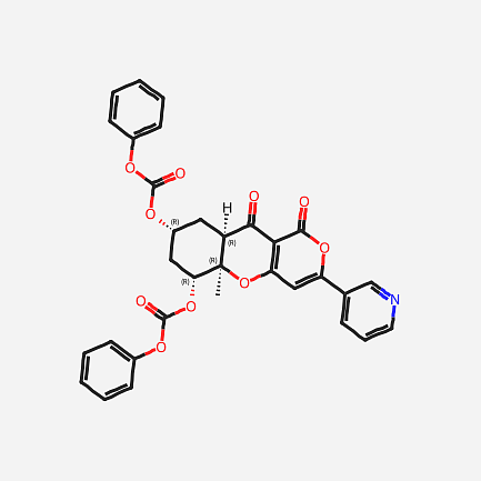 C[C@@]12Oc3cc(-c4cccnc4)oc(=O)c3C(=O)[C@@H]1C[C@@H](OC(=O)Oc1ccccc1)C[C@H]2OC(=O)Oc1ccccc1